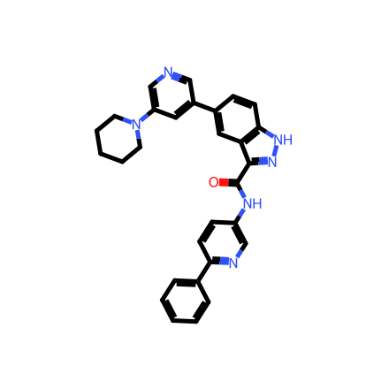 O=C(Nc1ccc(-c2ccccc2)nc1)c1n[nH]c2ccc(-c3cncc(N4CCCCC4)c3)cc12